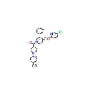 N#Cc1ccc(N2CCC(C(=O)N3CC[C@H](COc4ccc(Cl)cn4)[C@@H](c4ccccc4)C3)CC2)nc1